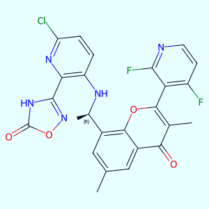 Cc1cc([C@@H](C)Nc2ccc(Cl)nc2-c2noc(=O)[nH]2)c2oc(-c3c(F)ccnc3F)c(C)c(=O)c2c1